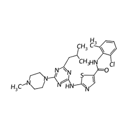 Cc1cccc(Cl)c1NC(=O)c1cnc(Nc2nc(CC(C)C)nc(N3CCN(C)CC3)n2)s1